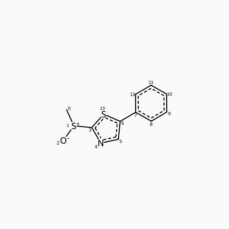 C[S+]([O-])c1ncc(-c2ccccc2)s1